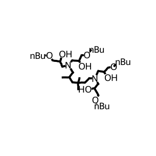 CCCCOCC(O)CN(CCC(C)(C)CC(C)CN(CC(O)COCCCC)CC(O)COCCCC)CC(O)COCCCC